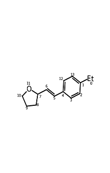 CCc1ccc(C=CC2CCCO2)cc1